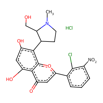 CN1CCC(c2c(O)cc(O)c3c(=O)cc(-c4cccc([N+](=O)[O-])c4Cl)oc23)C1CO.Cl